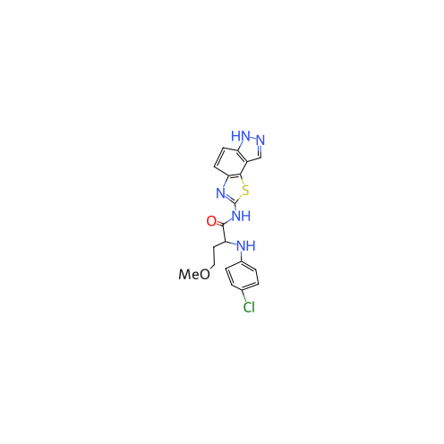 COCCC(Nc1ccc(Cl)cc1)C(=O)Nc1nc2ccc3[nH]ncc3c2s1